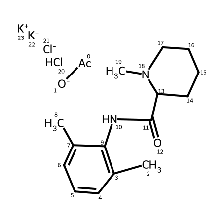 CC(=O)[O-].Cc1cccc(C)c1NC(=O)C1CCCCN1C.Cl.[Cl-].[K+].[K+]